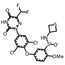 COc1ccc(Oc2c(Cl)cc(-n3nc(C(F)F)c(=O)[nH]c3=O)cc2Cl)cc1[S+]([O-])NC1CSC1